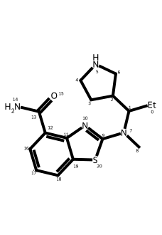 CCC(C1CCNC1)N(C)c1nc2c(C(N)=O)c[c]cc2s1